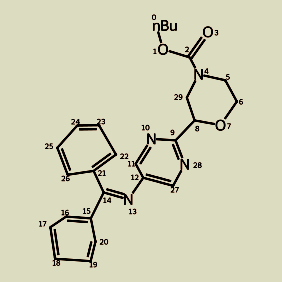 CCCCOC(=O)N1CCOC(c2ncc(N=C(c3ccccc3)c3ccccc3)cn2)C1